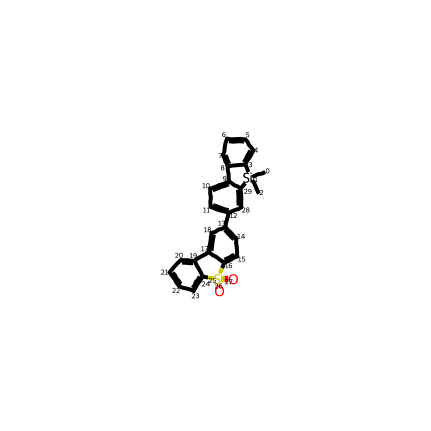 C[Si]1(C)c2ccccc2-c2ccc(-c3ccc4c(c3)-c3ccccc3S4(=O)=O)cc21